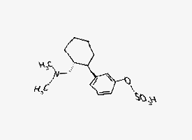 CN(C)C[C@@H]1CCCC[C@H]1c1cccc(OS(=O)(=O)O)c1